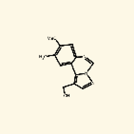 COc1cc2ncn3ncc(CO)c3c2cc1C